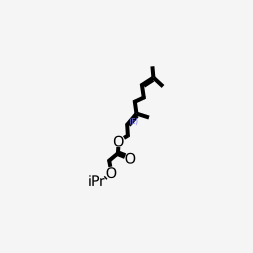 CC(C)=CCC/C(C)=C/COC(=O)COC(C)C